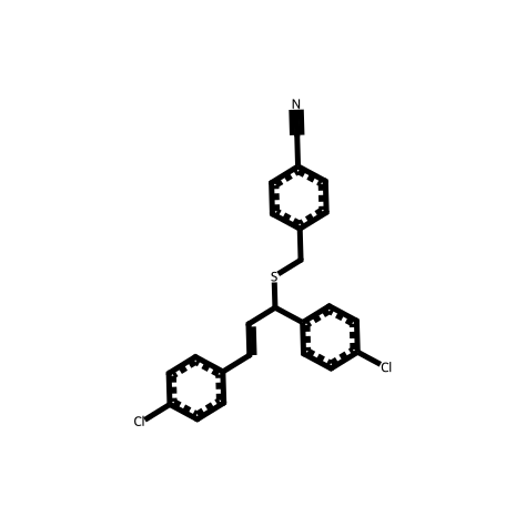 N#Cc1ccc(CSC(C=Cc2ccc(Cl)cc2)c2ccc(Cl)cc2)cc1